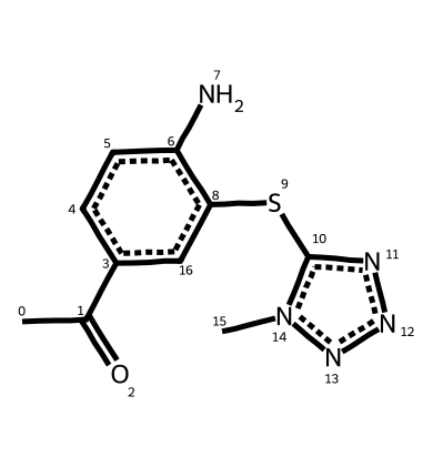 CC(=O)c1ccc(N)c(Sc2nnnn2C)c1